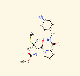 CCCCOC(=O)N[C@@H](C(=O)N1CCC[C@H]1C(=O)NC[C@H]1CC[C@H](N)CC1)C(C)(C)SCCC